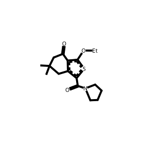 CCOc1sc(C(=O)N2CCCC2)c2c1C(=O)CC(C)(C)C2